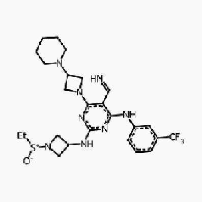 CC[S+]([O-])N1CC(Nc2nc(Nc3cccc(C(F)(F)F)c3)c(C=N)c(N3CC(N4CCCCC4)C3)n2)C1